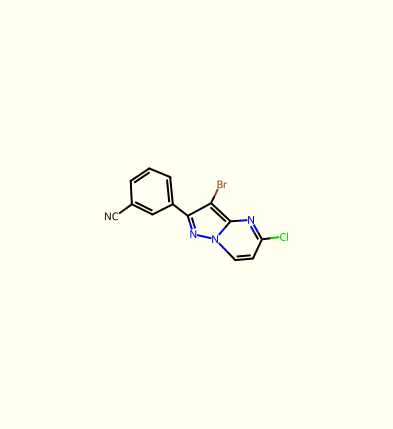 N#Cc1cccc(-c2nn3ccc(Cl)nc3c2Br)c1